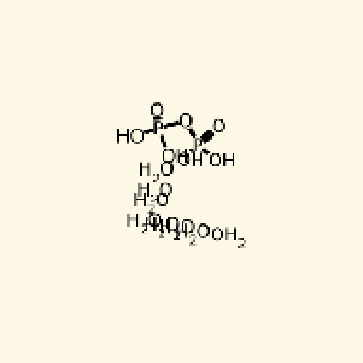 O.O.O.O.O.O.O.O.O=P(O)(O)OP(=O)(O)O